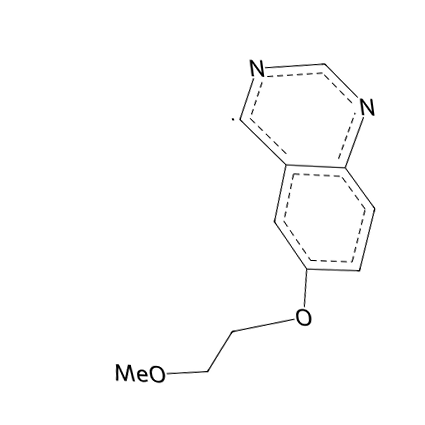 COCCOc1ccc2ncn[c]c2c1